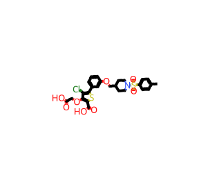 Cc1ccc(S(=O)(=O)N2CCC(COc3cccc(-c4sc(C(=O)O)c(OCC(=O)O)c4Cl)c3)CC2)cc1